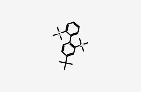 CC(C)(C)c1ccc(-c2ccccc2[Si](C)(C)C)c([Si](C)(C)C)c1